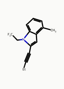 CCC#Cc1cc2c(C)cccc2n1CC(F)(F)F